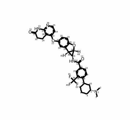 CN(C)[C@@H]1CCCC(c2ccc(C(=O)N[C@@H]3[C@H]4Oc5ccc(Oc6ccnc7c6CCC(=O)N7)cc5[C@@H]34)cc2C(F)(F)F)C1